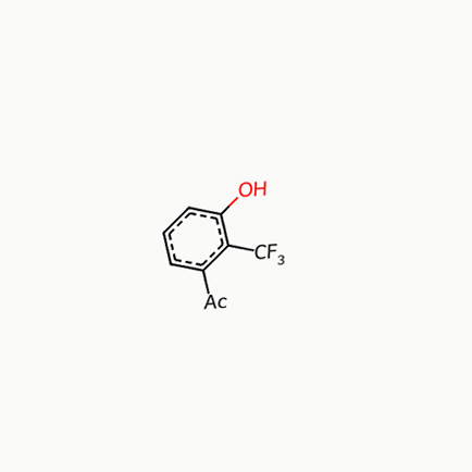 CC(=O)c1cccc(O)c1C(F)(F)F